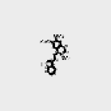 COc1cc2c(cc1OC)C(CCc1c[nH]c3ccccc13)N(SC)CC2